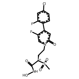 CS(=O)(=O)[C@H](CCn1cc(F)c(-c2ccc(Cl)cc2F)cc1=O)C(=O)NO